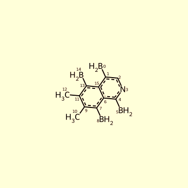 Bc1cnc(B)c2c(B)c(C)c(C)c(B)c12